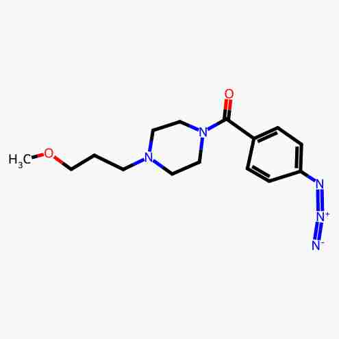 COCCCN1CCN(C(=O)c2ccc(N=[N+]=[N-])cc2)CC1